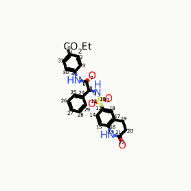 CCOC(=O)c1ccc(NC(=O)C(NS(=O)(=O)c2ccc3c(c2)CCC(=O)N3)c2ccccc2)cc1